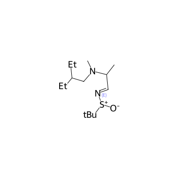 CCC(CC)CN(C)C(C)/C=N/[S+]([O-])C(C)(C)C